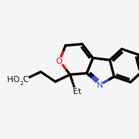 CCC1(CCC(=O)O)OCC=C2C1=Nc1ccccc12